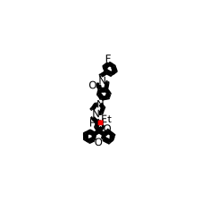 CCNC(=O)C1(CCCN2CCN(c3ccc4c(c3)C(=O)N(Cc3cccc(F)c3)C4)CC2)c2ccccc2Oc2ccccc21